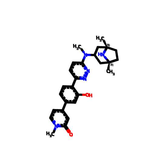 CN(c1ccc(-c2ccc(-c3ccn(C)c(=O)c3)cc2O)nn1)C1C[C@]2(C)CC[C@](C)(C1)N2